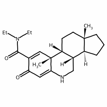 CCN(CC)C(=O)C1=C[C@@]2(C)C(=CC1=O)NC[C@@H]1[C@H]2CC[C@]2(C)CCC[C@@H]12